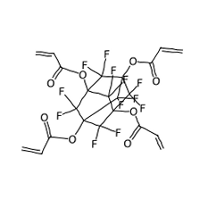 C=CC(=O)OC12C(F)(F)C3(OC(=O)C=C)C(F)(F)C(OC(=O)C=C)(C1(F)F)C(F)(F)C(OC(=O)C=C)(C2(F)F)C3(F)F